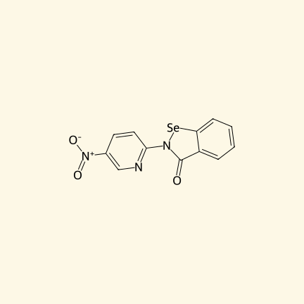 O=c1c2ccccc2[se]n1-c1ccc([N+](=O)[O-])cn1